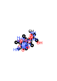 CCNC(=O)[C@@H]1CCCN1C(=O)[C@H](Cc1ccc(O)cc1)NC(=O)[C@H](Cc1c[nH]c2ccccc12)NC(=O)[C@@H](Cc1c[nH]c2ccccc12)NC(=O)[C@H](Cc1c[nH]cn1)NC(=O)[C@H](CO)NC(=O)[C@H](Cc1c[nH]c2ccccc12)NC(=O)[C@H](Cc1c[nH]cn1)NC(=O)[C@@H]1CCC(=O)N1